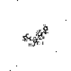 Cc1conc1C=C[C@H]1O[C@@H](n2cnc3c(NC4CCCC4)ncnc32)[C@H](O)[C@@H]1O